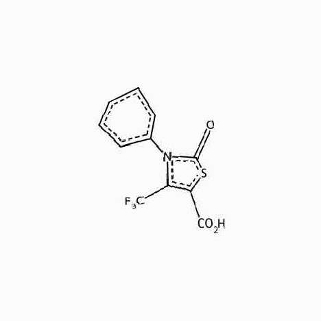 O=C(O)c1sc(=O)n(-c2ccccc2)c1C(F)(F)F